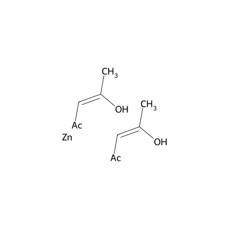 CC(=O)C=C(C)O.CC(=O)C=C(C)O.[Zn]